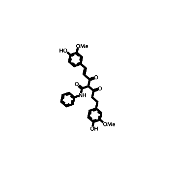 COc1cc(/C=C/C(=O)C(C(=O)CCc2ccc(O)c(OC)c2)C(=O)Nc2ccccc2)ccc1O